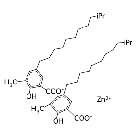 Cc1cc(CCCCCCCCCC(C)C)cc(C(=O)[O-])c1O.Cc1cc(CCCCCCCCCC(C)C)cc(C(=O)[O-])c1O.[Zn+2]